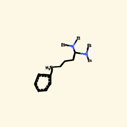 CCN(CC)C(CCC[SiH2]c1ccccc1)N(CC)CC